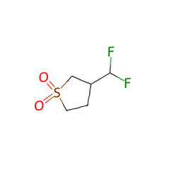 O=S1(=O)CCC(C(F)F)C1